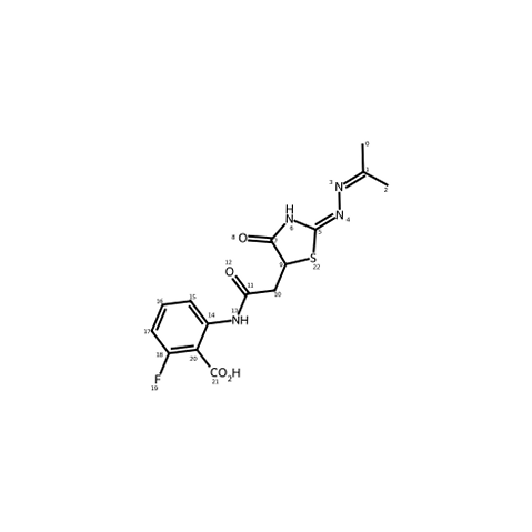 CC(C)=N/N=C1\NC(=O)C(CC(=O)Nc2cccc(F)c2C(=O)O)S1